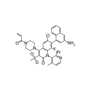 C=CC(=O)N1CCN(c2c(S(C)(=O)=O)c(=O)n(-c3c(C)ccnc3C(C)C)c3c(F)c(-c4cc(N)cc5ccccc45)c(Cl)cc23)CC1